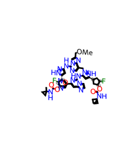 COCc1cn2c(Nc3cc([C@@H]4OC[C@H](OC(=O)NC5(C)CC5)[C@H]4F)[nH]n3)ncc(C[n+]3[nH]c([C@H]4C[C@@H](F)[C@@H](OC(=O)NC56CC(C5)C6)C4)cc3Nc3nc(-c4cncnc4)cc4nccn34)c2n1